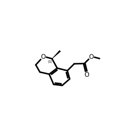 COC(=O)Cc1cccc2c1[C@H](C)OCC2